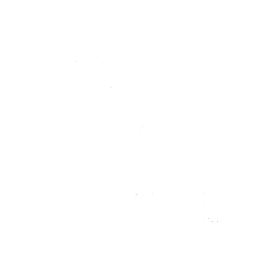 OCC(O)COCc1ccco1